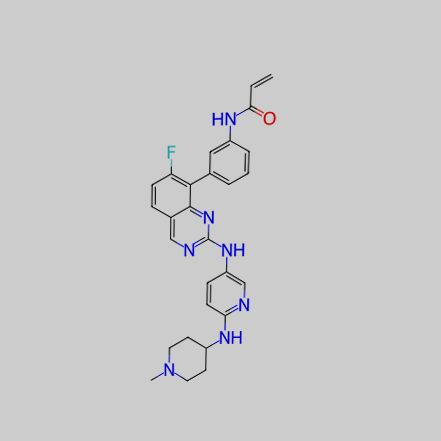 C=CC(=O)Nc1cccc(-c2c(F)ccc3cnc(Nc4ccc(NC5CCN(C)CC5)nc4)nc23)c1